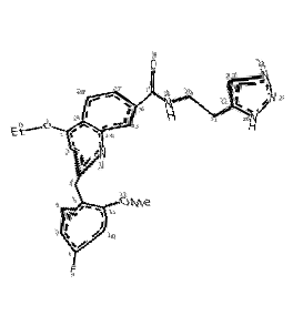 CCOc1cc(-c2ccc(F)cc2OC)nc2cc(C(=O)NCCc3cnn[nH]3)ccc12